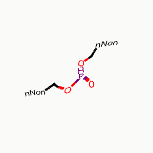 CCCCCCCCCCO[PH](=O)OCCCCCCCCCC